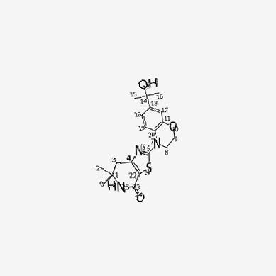 CC1(C)Cc2nc(N3CCOc4cc(C(C)(C)O)ccc43)sc2C(=O)N1